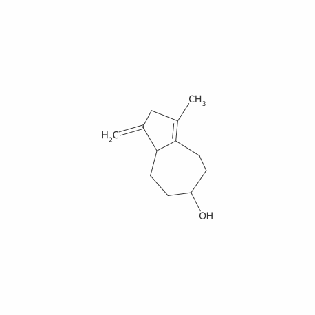 C=C1CC(C)=C2CCC(O)CCC12